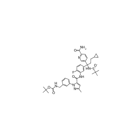 Cc1cc(C(=O)Nc2cc(C(CCC3CC3)(N[S@+]([O-])C(C)(C)C)c3ccc(C(N)=O)nc3)ccc2F)n(-c2cccc(CNC(=O)OC(C)(C)C)c2)n1